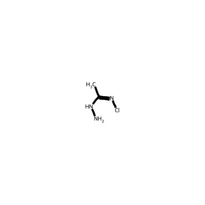 CC(=NCl)NN